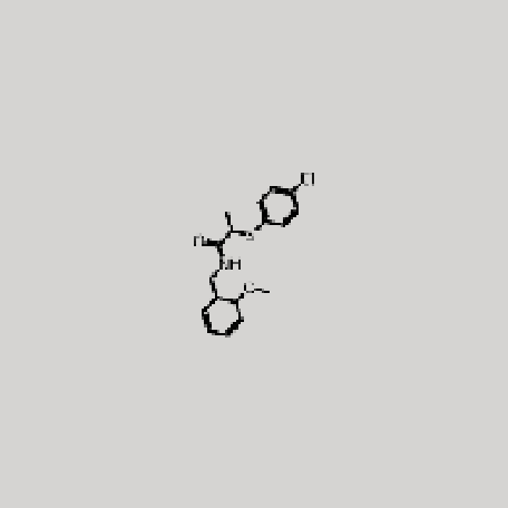 COC1C=CC=CC1CNC(=O)C(C)Sc1ccc(Cl)cc1